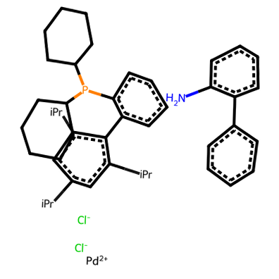 CC(C)c1cc(C(C)C)c(-c2ccccc2P(C2CCCCC2)C2CCCCC2)c(C(C)C)c1.Nc1ccccc1-c1ccccc1.[Cl-].[Cl-].[Pd+2]